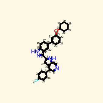 Fc1ccc(-c2cncc3[nH]c(-c4n[nH]c5ccc(-c6cccc(OC7CCCCC7)c6)cc45)cc23)cc1